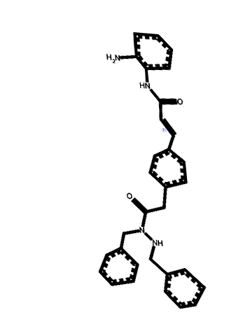 Nc1ccccc1NC(=O)/C=C/c1ccc(CC(=O)N(Cc2ccccc2)NCc2ccccc2)cc1